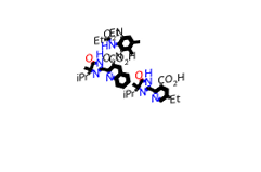 CC(C)C1(C)N=C(c2nc3ccccc3cc2C(=O)O)NC1=O.CCC(CC)Nc1c([N+](=O)[O-])cc(C)c(C)c1[N+](=O)[O-].CCc1cnc(C2=NC(C)(C(C)C)C(=O)N2)c(C(=O)O)c1